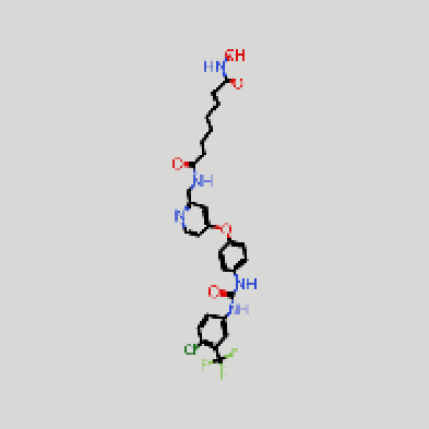 O=C(CCCCCCC(=O)NCc1cc(Oc2ccc(NC(=O)Nc3ccc(Cl)c(C(F)(F)F)c3)cc2)ccn1)NO